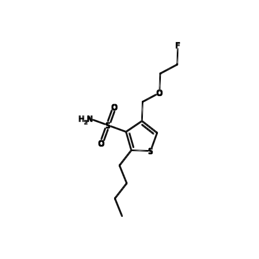 CCCCc1scc(COCCF)c1S(N)(=O)=O